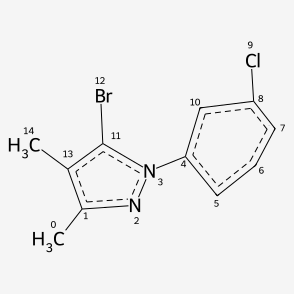 Cc1nn(-c2cccc(Cl)c2)c(Br)c1C